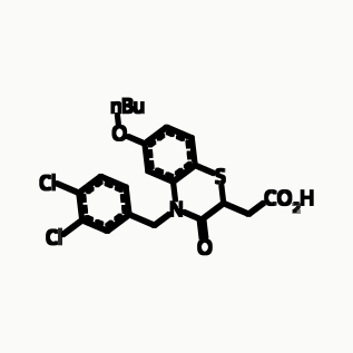 CCCCOc1ccc2c(c1)N(Cc1ccc(Cl)c(Cl)c1)C(=O)C(CC(=O)O)S2